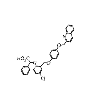 O=C(O)C(Oc1ccc(Cl)cc1COc1ccc(OCc2ccc3ccccc3n2)cc1)c1ccccc1